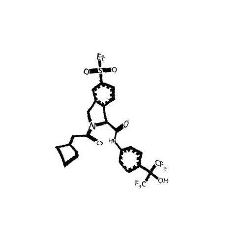 CCS(=O)(=O)c1ccc2c(c1)CN(C(=O)CC1CCC1)C2C(=O)Nc1ccc(C(O)(C(F)(F)F)C(F)(F)F)cc1